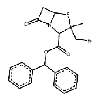 CC1(CBr)SC2CC(=O)N2C1C(=O)OC(c1ccccc1)c1ccccc1